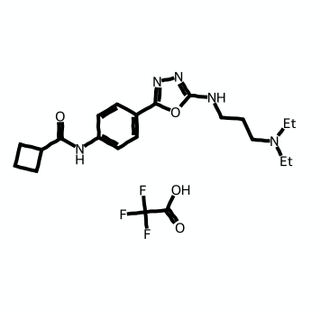 CCN(CC)CCCNc1nnc(-c2ccc(NC(=O)C3CCC3)cc2)o1.O=C(O)C(F)(F)F